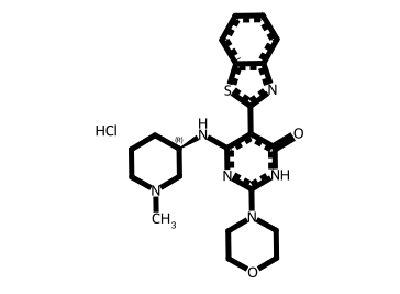 CN1CCC[C@@H](Nc2nc(N3CCOCC3)[nH]c(=O)c2-c2nc3ccccc3s2)C1.Cl